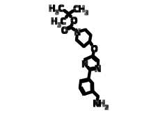 CC(C)(C)OC(=O)N1CCC(Oc2cnc(-c3cccc(CN)c3)nc2)CC1